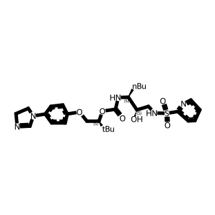 CCCC[C@H](NC(=O)O[C@H](COc1ccc(N2C=NCC2)cc1)C(C)(C)C)[C@@H](O)CNS(=O)(=O)c1ccccn1